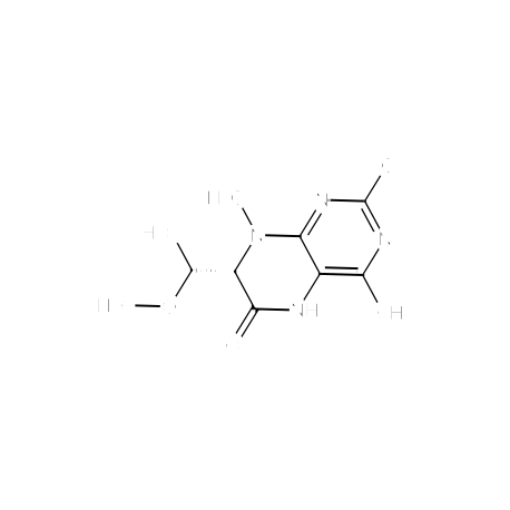 COC(C)[C@H]1C(=O)Nc2c(C)nc(Cl)nc2N1C